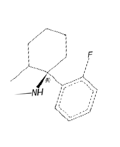 CN[C@]1(c2ccccc2F)CCCCC1C